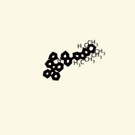 CC1(C)CCC(C)(C)c2cc3c(cc21)-c1ccc(-c2cccc4c(N(c5ccccc5)c5cccc6c5-c5ccccc5C6(c5ccccc5)c5ccccc5)cccc24)cc1C3(C)C